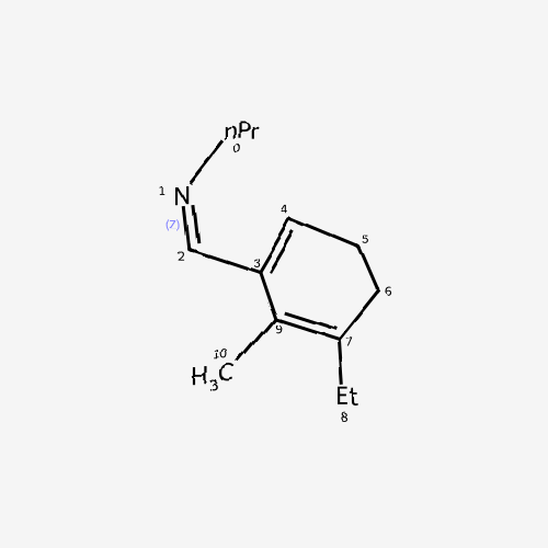 CCC/N=C\C1=CCCC(CC)=C1C